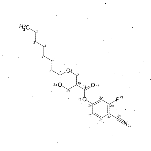 CCCCCCCC1OCC(C(=O)Oc2ccc(C#N)c(F)c2)CO1